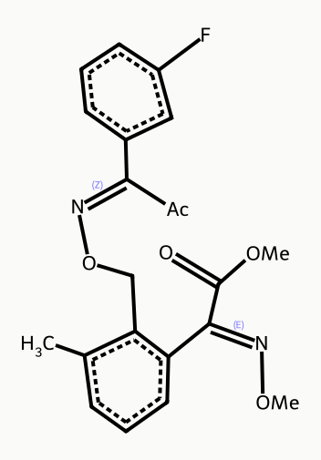 CO/N=C(/C(=O)OC)c1cccc(C)c1CO/N=C(\C(C)=O)c1cccc(F)c1